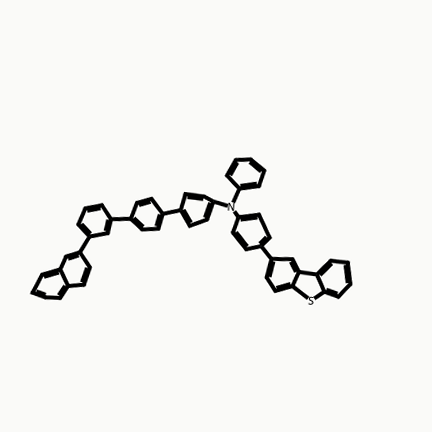 c1ccc(N(c2ccc(-c3ccc(-c4cccc(-c5ccc6ccccc6c5)c4)cc3)cc2)c2ccc(-c3ccc4sc5ccccc5c4c3)cc2)cc1